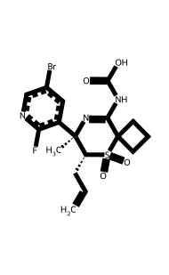 C=CC[C@@H]1[C@@](C)(c2cc(Br)cnc2F)N=C(NC(=O)O)C2(CCC2)S1(=O)=O